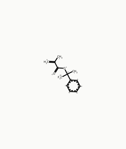 C=C(C)C(=O)OC(C)(c1ccccc1)C(F)(F)F